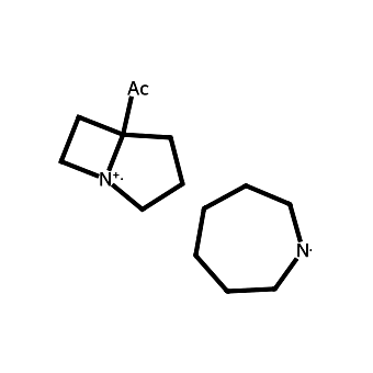 C1CCC[N]CC1.CC(=O)C12CCC[N+]1CC2